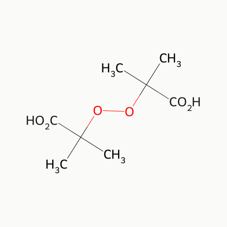 CC(C)(OOC(C)(C)C(=O)O)C(=O)O